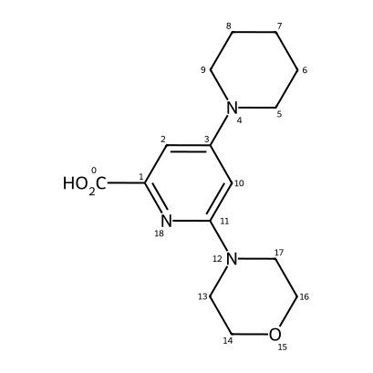 O=C(O)c1cc(N2CCCCC2)cc(N2CCOCC2)n1